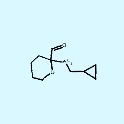 O=CC1([SiH2]CC2CC2)CCCCO1